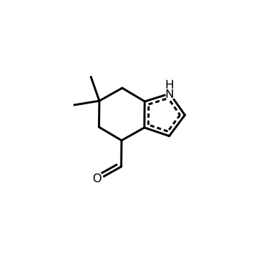 CC1(C)Cc2[nH]ccc2C(C=O)C1